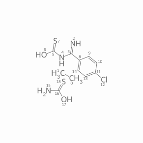 CC.N=C(NC(O)=S)c1ccc(Cl)cc1.NC(O)=S